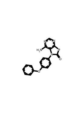 Nc1ncnc2c1N(c1ccc(Oc3ccccc3)cc1)C(=O)[N]2